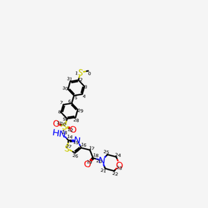 CSc1ccc(-c2ccc(S(=O)(=O)Nc3nc(CC(=O)N4CCOCC4)cs3)cc2)cc1